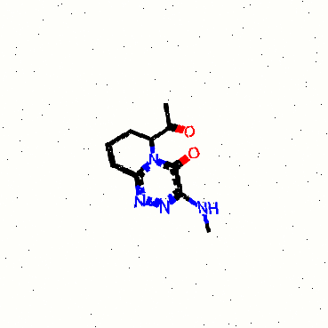 CNc1nnc2n(c1=O)C(C(C)=O)CCC2